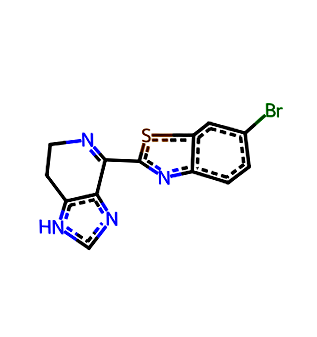 Brc1ccc2nc(C3=NCCc4[nH]cnc43)sc2c1